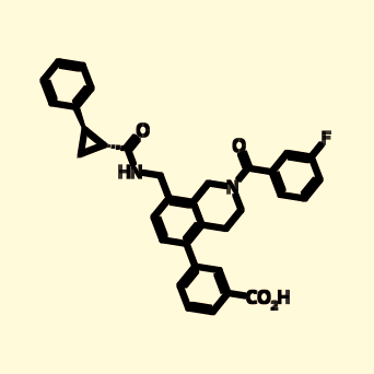 O=C(O)c1cccc(-c2ccc(CNC(=O)[C@@H]3C[C@H]3c3ccccc3)c3c2CCN(C(=O)c2cccc(F)c2)C3)c1